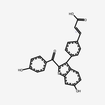 O=C(O)/C=C/c1ccc(-c2c(C(=O)c3ccc(O)cc3)sc3cc(O)ccc23)cc1